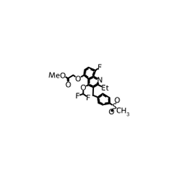 CCc1nc2c(F)ccc(OCC(=O)OC)c2c(OC(F)F)c1Cc1ccc(S(C)(=O)=O)cc1